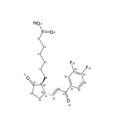 O=C(O)CCCCCC[C@@H]1C(=O)CC[C@H]1C=CC(=O)c1ccc(F)c(F)c1